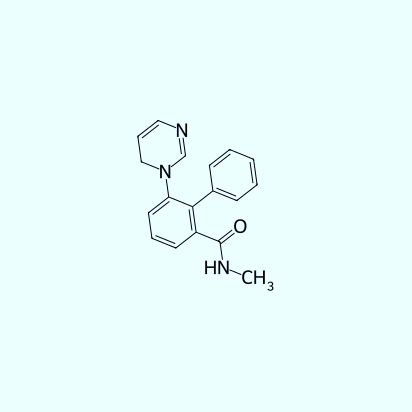 CNC(=O)c1cccc(N2C=NC=CC2)c1-c1ccccc1